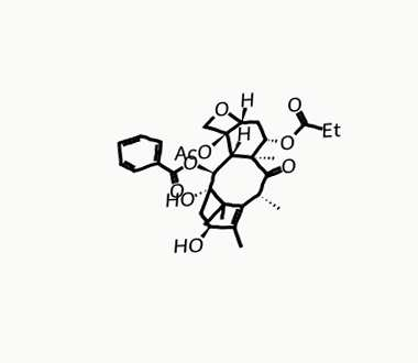 CCC(=O)O[C@H]1C[C@H]2OC[C@@]2(OC(C)=O)[C@H]2[C@H](OC(=O)c3ccccc3)[C@]3(O)C[C@H](O)C(C)=C([C@@H](C)C(=O)[C@]12C)C3(C)C